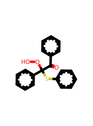 O=C(c1ccccc1)C(OO)(Sc1ccccc1)c1ccccc1